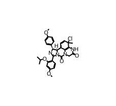 COc1ccc([C@@H]2N=C(c3ccc(OC)cc3OC(C)C)N3C(=O)N4CC(=O)NC5=C4C(C)(C=CC5(C)Cl)[C@H]23)cc1